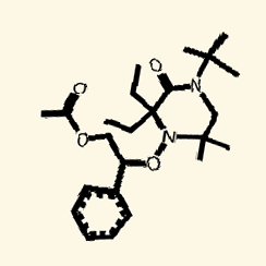 CCC1(CC)C(=O)N(C(C)(C)C)CC(C)(C)N1OC(COC(C)=O)c1ccccc1